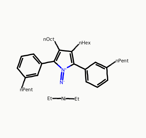 CCCCCCCCC1=C(c2cccc(CCCCC)c2)[N+](=[N-])C(c2cccc(CCCCC)c2)=C1CCCCCC.C[CH2][Ni][CH2]C